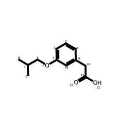 CC(C)COc1cccc(CC(=O)O)c1